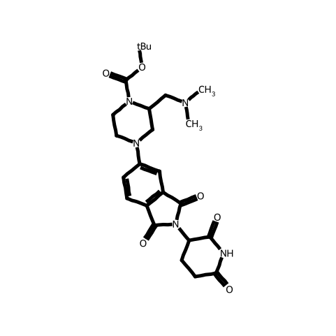 CN(C)CC1CN(c2ccc3c(c2)C(=O)N(C2CCC(=O)NC2=O)C3=O)CCN1C(=O)OC(C)(C)C